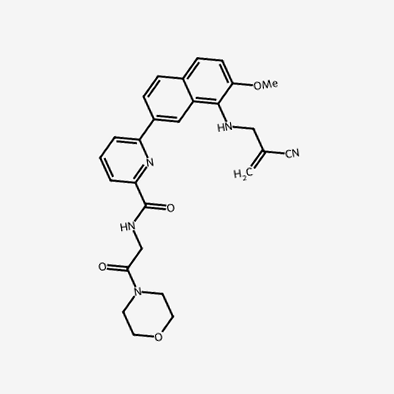 C=C(C#N)CNc1c(OC)ccc2ccc(-c3cccc(C(=O)NCC(=O)N4CCOCC4)n3)cc12